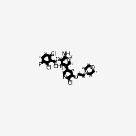 C[C@@H](Oc1cc(-c2cnc(Cl)c(OCCN3CCOCC3)c2)cnc1N)c1c(Cl)ccc(F)c1Cl